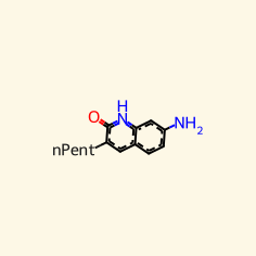 CCCCCc1cc2ccc(N)cc2[nH]c1=O